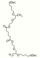 CCCCCCCCCCCCCCOC(C)COCCOC(=O)CCCCC(=O)OCCOCC(C)OCCCCCCCCCCCCCC